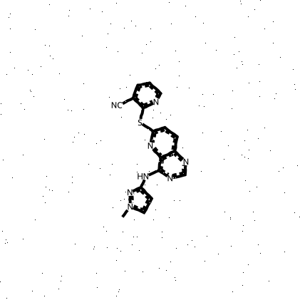 Cn1ccc(Nc2ncnc3ccc(Sc4ncccc4C#N)nc23)n1